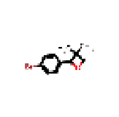 CC1(C)COC1c1ccc(Br)cc1